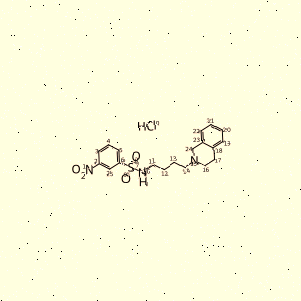 Cl.O=[N+]([O-])c1cccc(S(=O)(=O)NCCCCN2CCc3ccccc3C2)c1